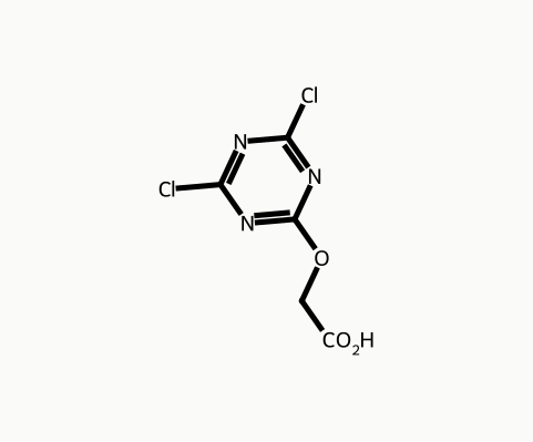 O=C(O)COc1nc(Cl)nc(Cl)n1